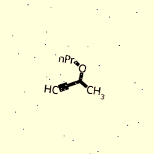 C#CC(C)OCCC